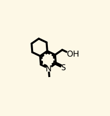 Cn1cc2c(c(CO)c1=S)CCCC2